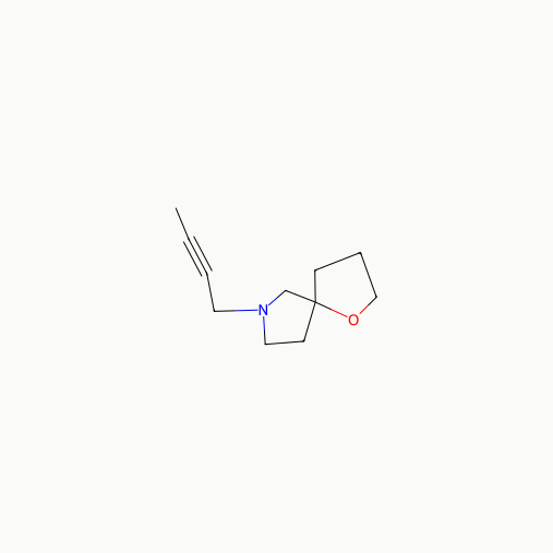 CC#CCN1CCC2(CCCO2)C1